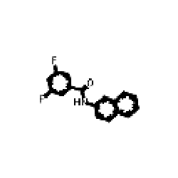 O=C(Nc1ccc2ccccc2c1)c1cc(F)cc(F)c1